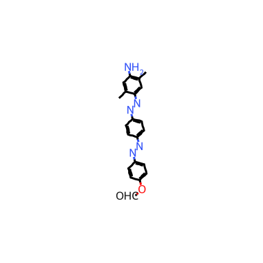 Cc1cc(N=Nc2ccc(N=Nc3ccc(OC=O)cc3)cc2)c(C)cc1N